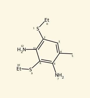 CCSc1cc(C)c(N)c(SCC)c1N